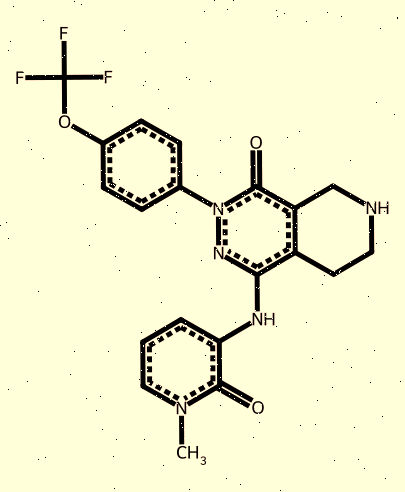 Cn1cccc(Nc2nn(-c3ccc(OC(F)(F)F)cc3)c(=O)c3c2CCNC3)c1=O